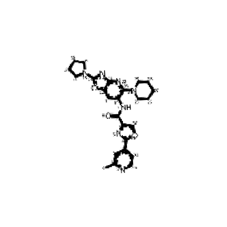 Cc1cc(-c2nc(C(=O)Nc3cc4oc(N5CCCC5)nc4nc3N3CCCCC3)co2)ccn1